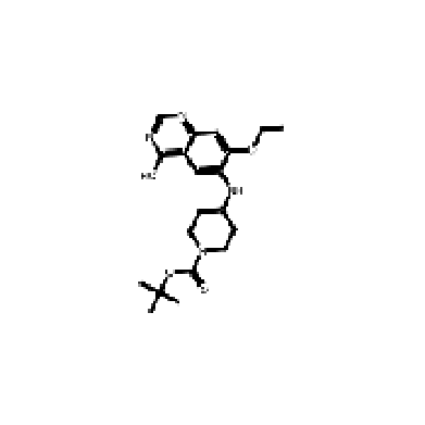 CCOc1cc2ncnc(O)c2cc1NC1CCN(C(=O)OC(C)(C)C)CC1